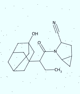 CCC(C(=O)N1C(C#N)CC2CC21)C12CC3CC(CC(O)(C3)C1)C2